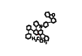 CC1(C)c2ccccc2-c2cc(N(c3ccc(-c4cccc5oc6ccccc6c45)cc3)c3ccccc3-c3ccccc3-c3ccccc3-c3ccccc3)ccc21